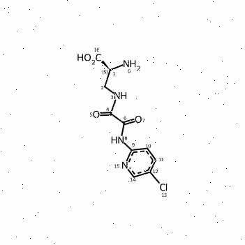 N[C@@H](CNC(=O)C(=O)Nc1ccc(Cl)cn1)C(=O)O